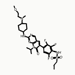 CCCS(=O)(=O)Nc1c(F)cc(-c2cc3cnc(NC4CCC(N(C)CCOC)CC4)nc3n(C(C)C)c2=O)c(F)c1F